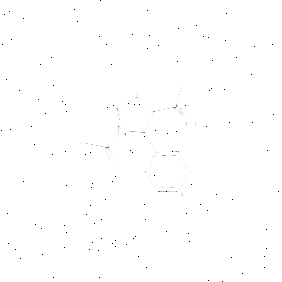 CC(=O)C1CCN(C(C)=O)C1c1ccccc1